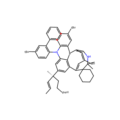 C/C=C/[C@](C)(CCC(C)CCC)c1cc2c3c(c1)N(c1ccc(C(C)(C)C)cc1-c1ccccc1)c1ccc(C(C)(C)C)cc1B3C1=C\NC(C)(C)C3(CCCCC3)/C2=C/C(C(C)(C)C)=C\1